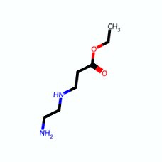 CCOC(=O)CCNCCN